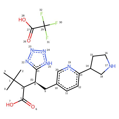 CC(C)(C)C(C(=O)O)[C@H](Cc1ccc(C2CCNC2)nc1)c1nnn[nH]1.O=C(O)C(F)(F)F